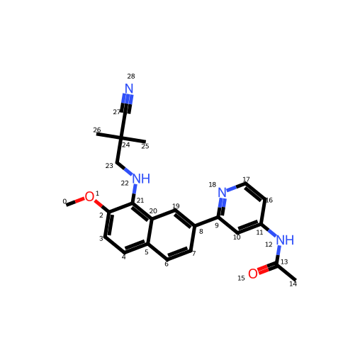 COc1ccc2ccc(-c3cc(NC(C)=O)ccn3)cc2c1NCC(C)(C)C#N